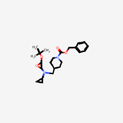 CC(C)(C)OC1OC1N(CC1CCN(C(=O)OCc2ccccc2)CC1)C1CC1